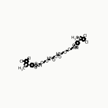 CN1Cc2c(Cl)cc(Cl)cc2[C@H](c2ccc(S(=O)(=O)NCCOCCOCCNC(=O)COCC(=O)NCCOCCOCCNS(=O)(=O)c3ccc([C@H]4c5cc(Cl)cc(Cl)c5CN4C)cc3)cc2)C1